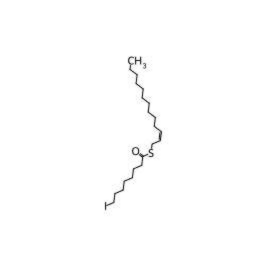 CCCCCCCCCC/C=C\CSC(=O)CCCCCCCI